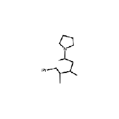 CC(C)CC(C)C(C)CC(C)N1CCCC1